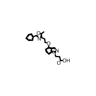 Cc1oc(-c2ccccc2)nc1CCOc1cccc2c1cnn2CCC(=O)O